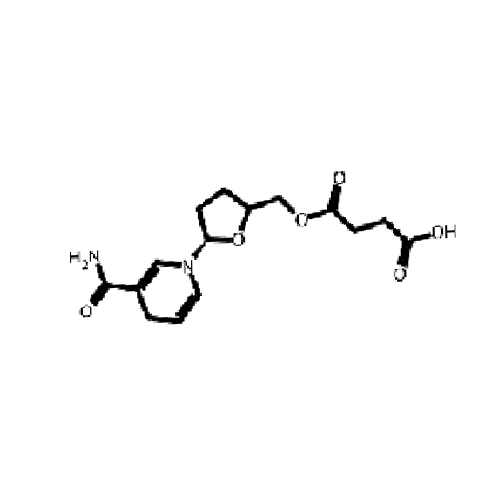 NC(=O)C1=CN([C@H]2CCC(COC(=O)CCC(=O)O)O2)C=CC1